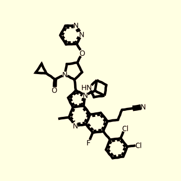 Cc1nc2c(F)c(-c3cccc(Cl)c3Cl)c(CCC#N)cc2c2c1cc(C1CC(Oc3cccnn3)CN1C(=O)C1CC1)n2C1C2CNC1C2